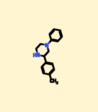 Cc1ccc(C2CN(c3ccccc3)CCN2)cc1